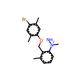 Cc1cc(OCc2c(C)cccc2N(C)N)c(C)cc1Br